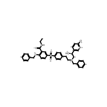 CCNC(=O)c1cc(S(=O)(=O)c2ccc(CCN(Cc3ccccc3)C[C@@H](O)c3ccc(Cl)nc3)cc2)ccc1OCc1ccccc1